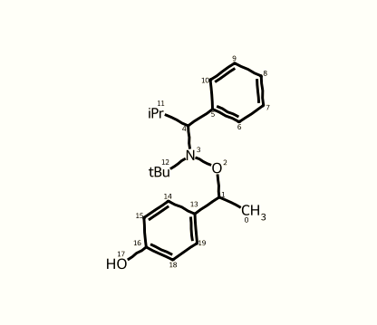 CC(ON(C(c1ccccc1)C(C)C)C(C)(C)C)c1ccc(O)cc1